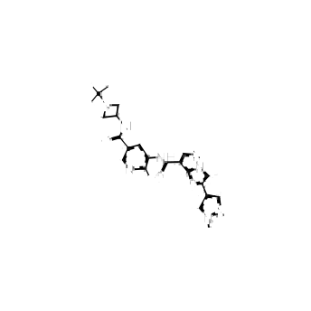 Cc1ncc(C(=O)NC2CN(C(C)(C)C)C2)cc1NC(=O)c1cnn2cc(-c3cnn(C)c3)sc12